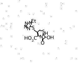 CCn1nnnc1SCC1=C(C(=O)O)N2C(=O)[C@@H](O)[C@H]2SC1